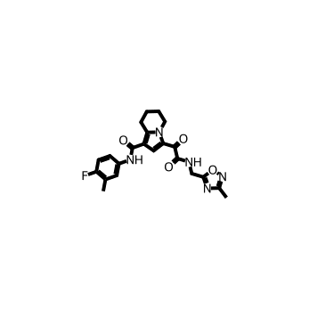 Cc1noc(CNC(=O)C(=O)c2cc(C(=O)Nc3ccc(F)c(C)c3)c3n2CCCC3)n1